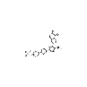 Nc1ncc(-c2ccc(N3CCN(CC(F)(F)F)CC3)cc2)nc1-c1ccc2c(c1)CCNC2=O